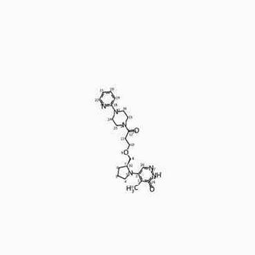 Cc1c(N2CCC[C@H]2COCCC(=O)N2CCN(c3ccccn3)CC2)cn[nH]c1=O